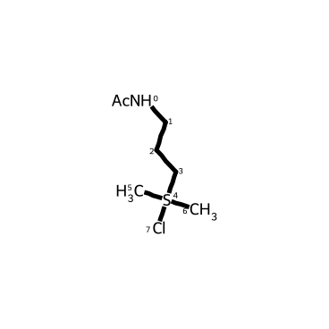 CC(=O)NCCCS(C)(C)Cl